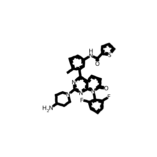 Cc1ccc(NC(=O)c2cccs2)cc1-c1nc(N2CCC(N)CC2)nc2c1ccc(=O)n2-c1c(F)cccc1F